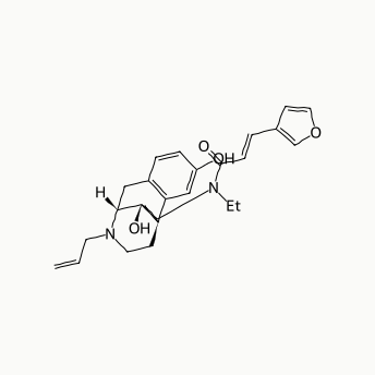 C=CCN1CC[C@]23CC(N(CC)C(=O)/C=C/c4ccoc4)CC[C@@]2(O)[C@H]1Cc1ccc(O)cc13